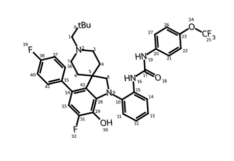 CC(C)(C)CN1CCC2(CC1)CN(c1ccccc1NC(=O)Nc1ccc(OC(F)(F)F)cc1)c1c(O)c(F)cc(-c3ccc(F)cc3)c12